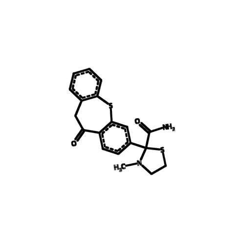 CN1CCSC1(C(N)=O)c1ccc2c(c1)Sc1ccccc1CC2=O